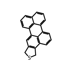 c1cc2cccc3c4cc5c(c6cccc(c(c1)c23)c64)CSC5